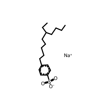 CCCCC(CC)CCCCCc1ccc(S(=O)(=O)[O-])cc1.[Na+]